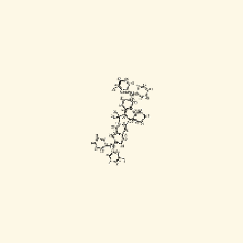 Cc1cccc(N(c2ccccc2)c2ccc3cc4c(cc3c2)C(C)(C)c2c-4c3ccccc3c3cc(N(c4ccccc4)c4cccc(C)c4)ccc23)c1